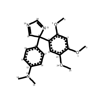 COc1cc(OC)c(C2(c3ccc(N(C)C)cc3)C=NC=N2)cc1OC